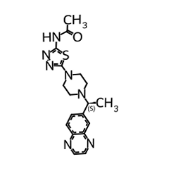 CC(=O)Nc1nnc(N2CCN([C@@H](C)c3ccc4nccnc4c3)CC2)s1